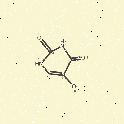 [O]c1c[nH]c(=O)[nH]c1=O